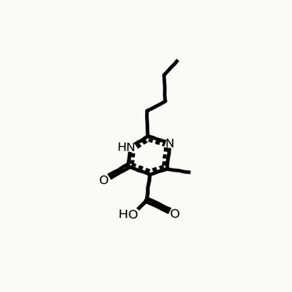 CCCCc1nc(C)c(C(=O)O)c(=O)[nH]1